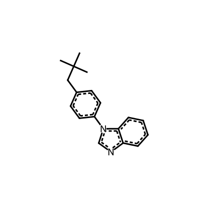 CC(C)(C)Cc1ccc(-n2cnc3ccccc32)cc1